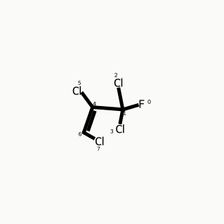 FC(Cl)(Cl)/C(Cl)=C\Cl